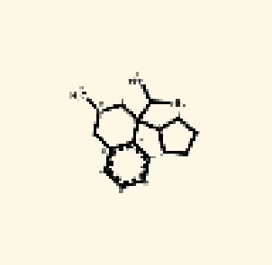 CCCCC(CCC)C1(C2CCCC2)CN(C)Cc2ccccc21